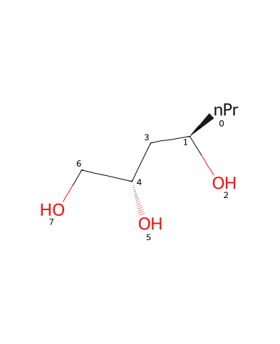 CCC[C@@H](O)C[C@H](O)CO